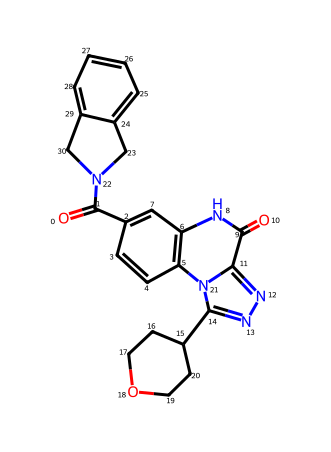 O=C(c1ccc2c(c1)[nH]c(=O)c1nnc(C3CCOCC3)n12)N1Cc2ccccc2C1